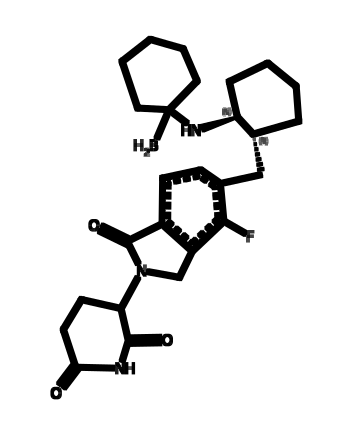 BC1(N[C@H]2CCCC[C@@H]2Cc2ccc3c(c2F)CN(C2CCC(=O)NC2=O)C3=O)CCCCC1